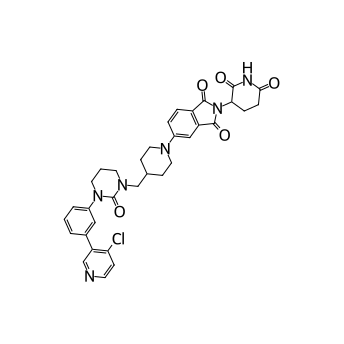 O=C1CCC(N2C(=O)c3ccc(N4CCC(CN5CCCN(c6cccc(-c7cnccc7Cl)c6)C5=O)CC4)cc3C2=O)C(=O)N1